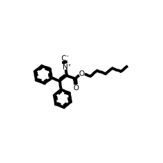 [C-]#[N+]C(C(=O)OCCCCCC)=C(c1ccccc1)c1ccccc1